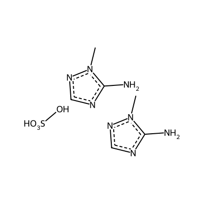 Cn1ncnc1N.Cn1ncnc1N.O=S(=O)(O)O